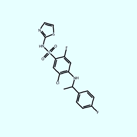 CC(Nc1cc(F)c(S(=O)(=O)Nc2nccs2)cc1Cl)c1ccc(F)cc1